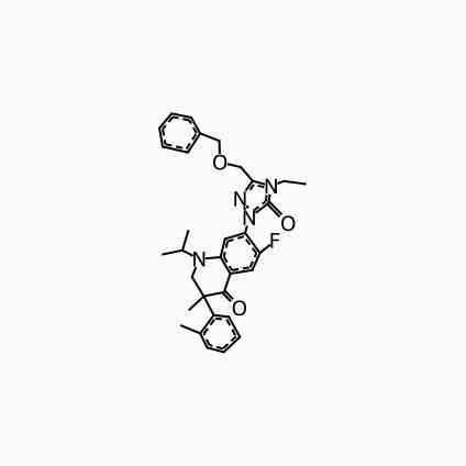 CCn1c(COCc2ccccc2)nn(-c2cc3c(cc2F)C(=O)C(C)(c2ccccc2C)CN3C(C)C)c1=O